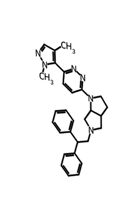 Cc1cnn(C)c1-c1ccc(N2CCC3CN(CC(c4ccccc4)c4ccccc4)CC32)nn1